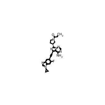 C=CC(=O)N1CC[C@H](c2nc(C#Cc3cc4ncn(C5CC5)c4cc3F)c3c(N)ncnn23)C1